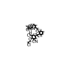 CC(C)(c1cc(Cl)c(OCCCl)c(C#N)c1)c1ccccc1OCc1ccnc(NS(C)(=O)=O)n1